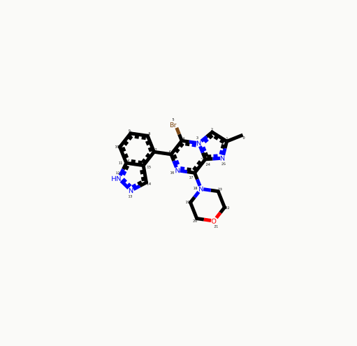 Cc1cn2c(Br)c(-c3cccc4[nH]ncc34)nc(N3CCOCC3)c2n1